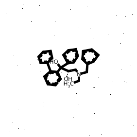 CCN(Cc1ccccc1)C[C@H](O)C(O)(c1ccccc1)c1ccccc1-c1ccccc1